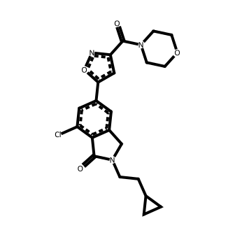 O=C(c1cc(-c2cc(Cl)c3c(c2)CN(CCC2CC2)C3=O)on1)N1CCOCC1